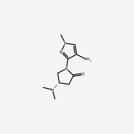 CN(C)[C@H]1CC(=O)N(c2nn(C)cc2N)C1